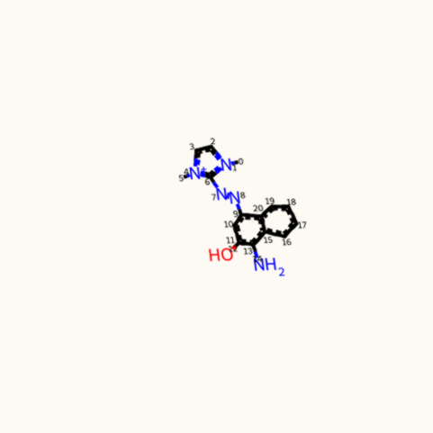 Cn1cc[n+](C)c1/N=N/c1cc(O)c(N)c2ccccc12